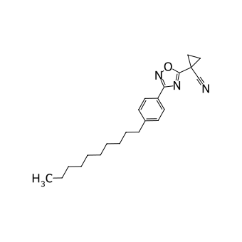 CCCCCCCCCCc1ccc(-c2noc(C3(C#N)CC3)n2)cc1